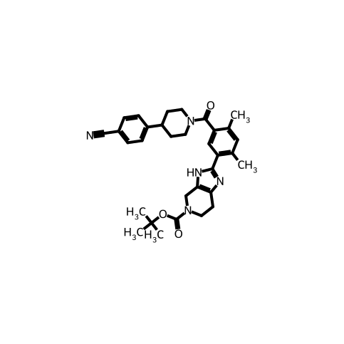 Cc1cc(C)c(-c2nc3c([nH]2)CN(C(=O)OC(C)(C)C)CC3)cc1C(=O)N1CCC(c2ccc(C#N)cc2)CC1